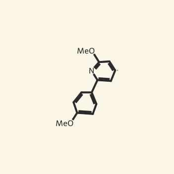 COc1ccc(-c2c[c]cc(OC)n2)cc1